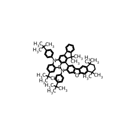 CC(C)(C)c1ccc(N2B3c4cc(C(C)(C)C)ccc4N(c4ccc(C(C)(C)C)cc4)c4cc5c(c(c43)-c3cc4c(cc32)oc2cc3c(cc24)C(C)(C)CCC3(C)C)C(C)(C)c2ccccc2-5)cc1